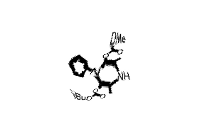 COC(=O)OC1=C(C)NC(C)=C(OC(=O)OCC(C)C)N1c1ccccc1